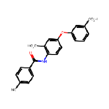 N#Cc1ccc(C(=O)Nc2ccc(Oc3cccc(C(=O)O)c3)cc2C(=O)O)cc1